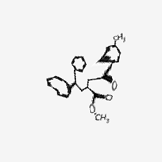 COC(=O)C(CC(=O)c1ccc(C)cc1)CC(c1ccccc1)c1ccccc1